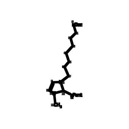 CCCCCCCCCCCCCCCCCN1C=CN(C)C1CCCCC